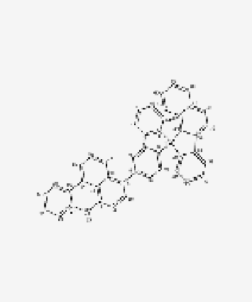 c1ccc(C2(c3ccc(-c4ccc5c6c(cccc46)-c4ccccc4S5)cc3)c3ccccc3-c3ccc4ccccc4c32)cc1